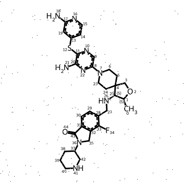 C[C@@H]1OCC2(CCN(c3cnc(Sc4ccnc(N)c4)c(N)n3)CC2)[C@@H]1NCc1ccc2c(c1F)CN(C1CCCNC1)C2=O